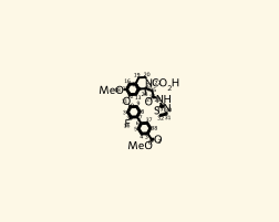 COC(=O)c1ccc(-c2ccc(Oc3cc4c(cc3OC)CCN(C(=O)O)[C@]4(C)CC(=O)Nc3nccs3)cc2F)cc1